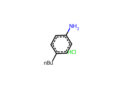 CCCCc1ccc(N)cc1.Cl